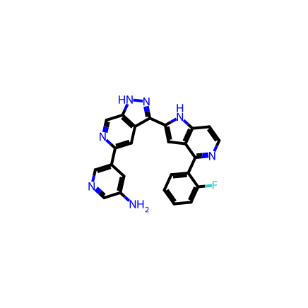 Nc1cncc(-c2cc3c(-c4cc5c(-c6ccccc6F)nccc5[nH]4)n[nH]c3cn2)c1